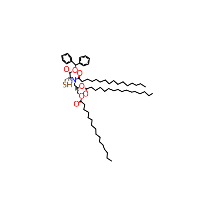 CCCCCCCCCCCCCCCC(=O)OC[C@@H](CN(C(=O)CCCCCCCCCCCCCCC)[C@H](CS)C(=O)OC(c1ccccc1)c1ccccc1)OC(=O)CCCCCCCCCCCCCCC